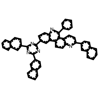 c1ccc(-c2nc3ccc(-c4nc(-c5ccc6ccccc6c5)nc(-c5ccc6ccccc6c5)n4)cc3c3ccc4nc(-c5ccc6ccccc6c5)ccc4c23)cc1